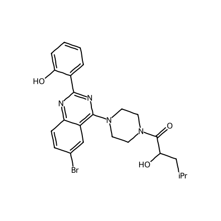 CC(C)CC(O)C(=O)N1CCN(c2nc(-c3ccccc3O)nc3ccc(Br)cc23)CC1